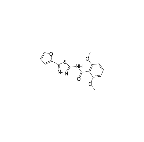 COc1cccc(OC)c1C(=O)Nc1nnc(-c2ccco2)s1